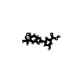 COC(=O)c1cc(F)cc(-c2nc3cc(C(F)(F)F)c(Cl)cc3s2)c1